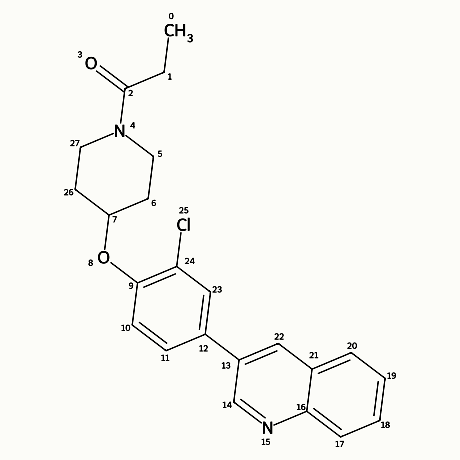 CCC(=O)N1CCC(Oc2ccc(-c3cnc4ccccc4c3)cc2Cl)CC1